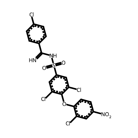 N=C(NS(=O)(=O)c1cc(Cl)c(Oc2ccc([N+](=O)[O-])cc2Cl)c(Cl)c1)c1ccc(Cl)cc1